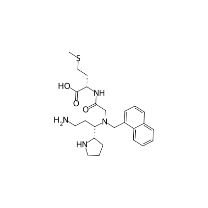 CSCC[C@H](NC(=O)CN(Cc1cccc2ccccc12)C(CCN)[C@@H]1CCCN1)C(=O)O